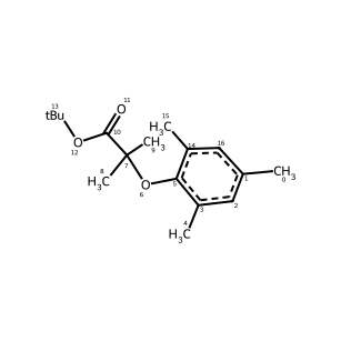 Cc1cc(C)c(OC(C)(C)C(=O)OC(C)(C)C)c(C)c1